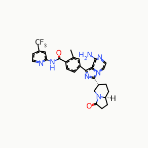 Cc1cc(-c2nc([C@@H]3CC[C@H]4CCC(=O)N4C3)n3ccnc(N)c23)ccc1C(=O)Nc1cc(C(F)(F)F)ccn1